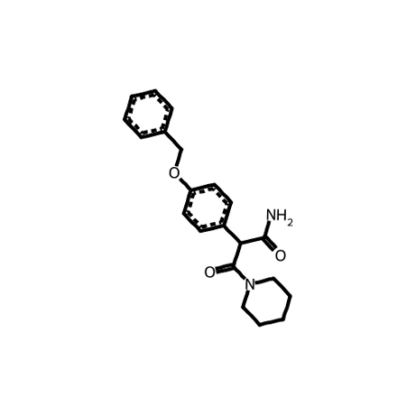 NC(=O)C(C(=O)N1CCCCC1)c1ccc(OCc2ccccc2)cc1